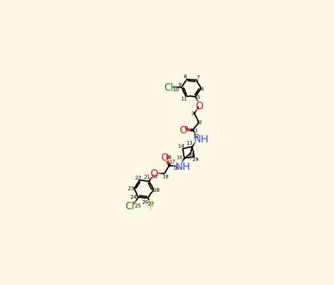 O=C(CCOc1cccc(Cl)c1)NC12CC(NC(=O)COc3ccc(Cl)c(F)c3)(C1)C2